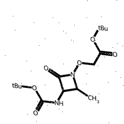 CC1C(NC(=O)OC(C)(C)C)C(=O)N1OCC(=O)OC(C)(C)C